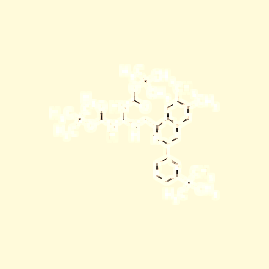 Cc1cc2cc(-c3cccc(C(C)(C)C)c3)nc(CNC(NC(=O)OC(C)(C)C)NC(=O)OC(C)(C)C)c2cc1C